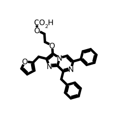 O=C(O)OCCOc1c(Cc2ccco2)nc2c(Cc3ccccc3)nc(-c3ccccc3)cn12